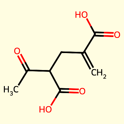 C=C(CC(C(C)=O)C(=O)O)C(=O)O